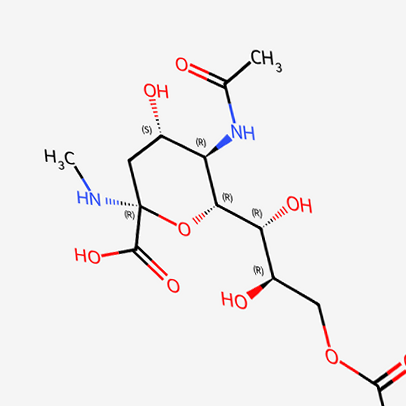 CN[C@]1(C(=O)O)C[C@H](O)[C@@H](NC(C)=O)[C@H]([C@H](O)[C@H](O)COC(C)=O)O1